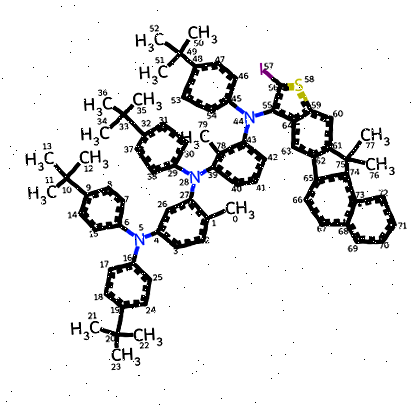 Cc1ccc(N(c2ccc(C(C)(C)C)cc2)c2ccc(C(C)(C)C)cc2)cc1N(c1ccc(C(C)(C)C)cc1)c1cccc(N(c2ccc(C(C)(C)C)cc2)c2c(I)sc3cc4c(cc23)-c2ccc3ccccc3c2C4(C)C)c1C